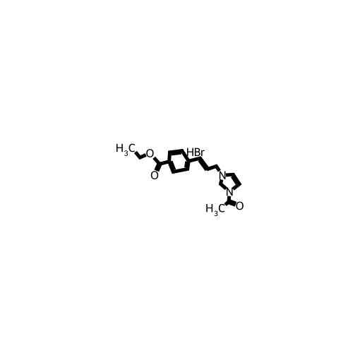 Br.CCOC(=O)c1ccc(/C=C/CN2C=CN(C(C)=O)C2)cc1